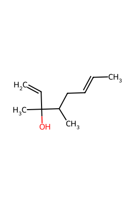 C=CC(C)(O)C(C)CC=CC